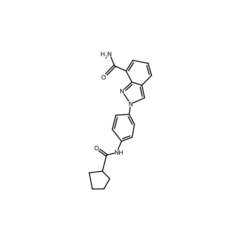 NC(=O)c1cccc2cn(-c3ccc(NC(=O)C4CCCC4)cc3)nc12